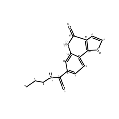 CCCNC(=O)c1ccc2c(c1)[nH]c(=O)c1ccsc12